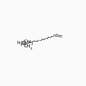 CCCCCCCCCCCCCCCCCCCCCCCC[CH][Ge]([CH3])([CH3])[CH3]